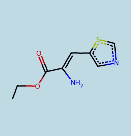 CCOC(=O)/C(N)=C/c1cncs1